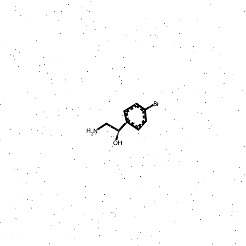 NC[C@H](O)c1ccc(Br)cc1